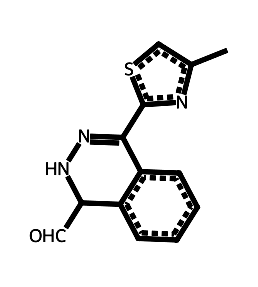 Cc1csc(C2=NNC(C=O)c3ccccc32)n1